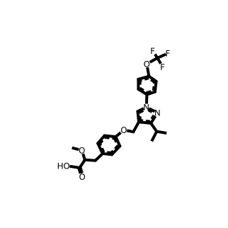 COC(Cc1ccc(OCc2cn(-c3ccc(OC(F)(F)F)cc3)nc2C(C)C)cc1)C(=O)O